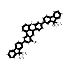 Cc1cc(-c2ccc3c(c2)C(C)(C)c2ccccc2-3)cc2c1cc1c3c(cccc32)Sc2cc(-c3ccc4c(c3)C(C)(C)c3ccccc3-4)ccc2-1